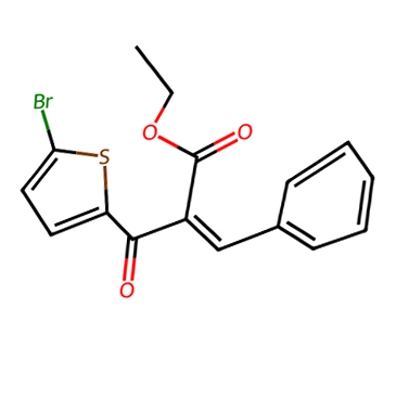 CCOC(=O)C(=Cc1ccccc1)C(=O)c1ccc(Br)s1